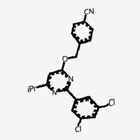 CC(C)c1cc(OCc2ccc(C#N)cc2)nc(-c2cc(Cl)cc(Cl)c2)n1